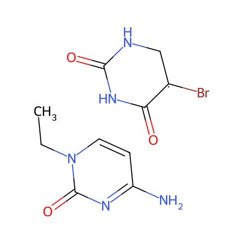 CCn1ccc(N)nc1=O.O=C1NC[C](Br)C(=O)N1